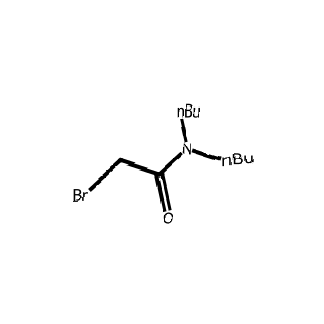 CCCCN(CCCC)C(=O)CBr